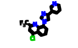 FC(F)(F)c1cc(Cl)c2cccc(-n3cnc(-c4cccnc4)c3)c2n1